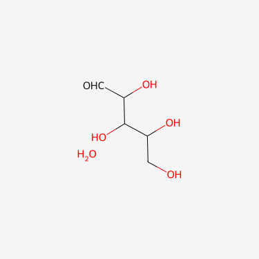 O.O=CC(O)C(O)C(O)CO